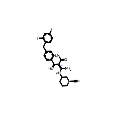 N#CN1CCCC(N/C(N)=C(\C(=N)c2ccc(Cc3ccc(F)cc3F)cc2)C(N)=O)C1